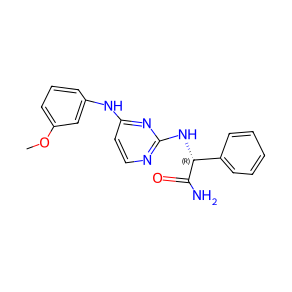 COc1cccc(Nc2ccnc(N[C@@H](C(N)=O)c3ccccc3)n2)c1